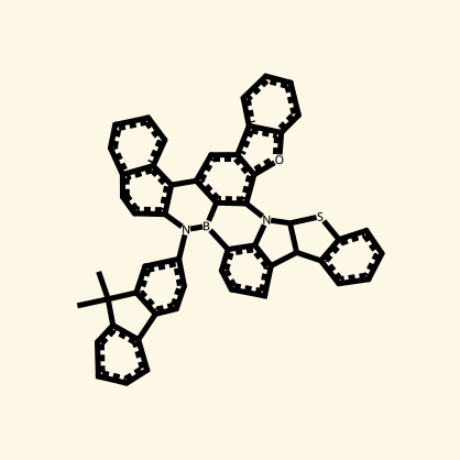 CC1(C)c2ccccc2-c2ccc(N3B4c5cccc6c5N(c5c4c(cc4c5oc5ccccc54)-c4c3ccc3ccccc43)C3Sc4ccccc4C63)cc21